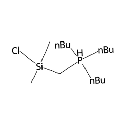 CCCC[PH](CCCC)(CCCC)C[Si](C)(C)Cl